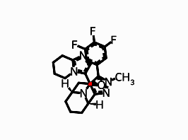 Cn1nc2c(c1-c1cc(F)c(F)c(F)c1)C[C@H]1CCC[C@@H]2N1C(=O)c1cnc2n1CCCC2